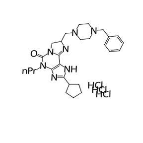 CCCN1C(=O)N2CC(CN3CCN(Cc4ccccc4)CC3)N=C2c2[nH]c(C3CCCC3)nc21.Cl.Cl.Cl